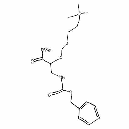 COC(=O)C(CNC(=O)OCc1ccccc1)OCOCC[Si](C)(C)C